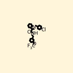 O=C(NCCc1cccc(OC(F)(F)F)c1)c1cn(Cc2ccc(Cl)cc2)c2ccccc12